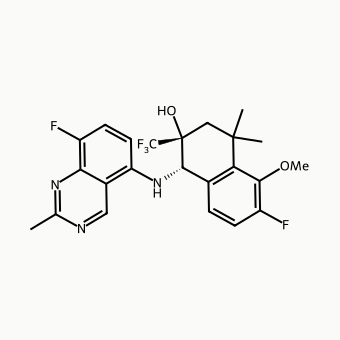 COc1c(F)ccc2c1C(C)(C)C[C@](O)(C(F)(F)F)[C@H]2Nc1ccc(F)c2nc(C)ncc12